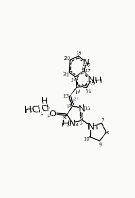 Cl.Cl.O=C1NC(N2CCCC2)=N/C1=C\c1c[nH]c2ncccc12